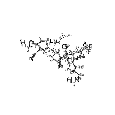 Cc1ccc(C(NCC2CC2)c2ccc(F)c(NC(=O)c3cc(C(F)(F)F)nn3-c3cccc(CN)c3)c2)cc1C#N